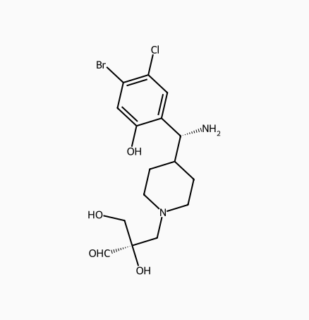 N[C@@H](c1cc(Cl)c(Br)cc1O)C1CCN(C[C@](O)(C=O)CO)CC1